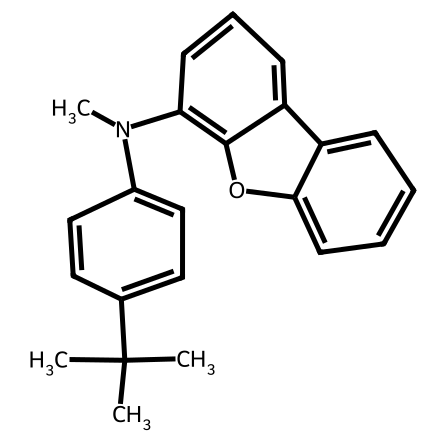 CN(c1ccc(C(C)(C)C)cc1)c1cccc2c1oc1ccccc12